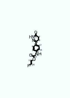 O=C1CCC(c2ccc(NC(=O)OCCF)cc2)=NN1